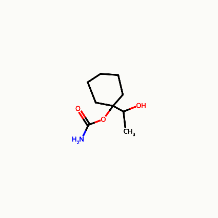 CC(O)C1(OC(N)=O)CCCCC1